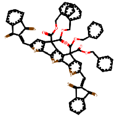 O=C(OCc1ccccc1)C1(C(=O)OCc2ccccc2)c2cc(C=C3C(=S)c4ccccc4C3=S)sc2-c2sc3c(c21)C(C(=O)OCc1ccccc1)(C(=O)OCc1ccccc1)c1cc(C=C2C(=S)c4ccccc4C2=S)sc1-3